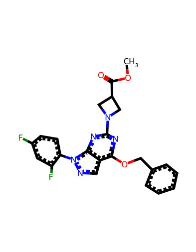 COC(=O)C1CN(c2nc(OCc3ccccc3)c3cnn(-c4ccc(F)cc4F)c3n2)C1